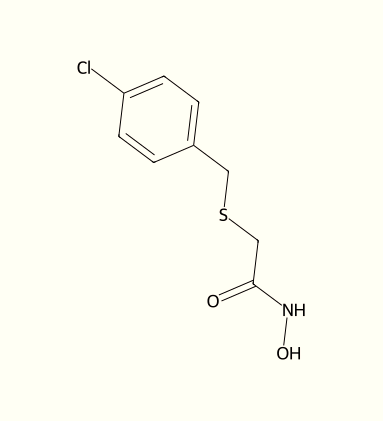 O=C(CSCc1ccc(Cl)cc1)NO